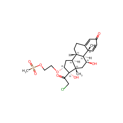 C[C@]12C=CC(=O)C=C1CC[C@@H]1[C@@H]2[C@@H](O)C[C@@]2(C)[C@H]1C[C@@H](OCCOS(C)(=O)=O)[C@]2(O)C(=O)CCl